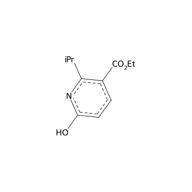 CCOC(=O)c1ccc(O)nc1C(C)C